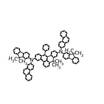 CC1(C)c2ccccc2-c2ccc(N(c3ccc4c(c3)C(C)(C)c3cccc5c3c-4c(-c3ccccc3)c3ccc(N(c4ccc6c(c4)C(C)(C)c4ccccc4-6)c4ccc6c(ccc7ccccc76)c4)cc35)c3ccc4c(ccc5ccccc54)c3)cc21